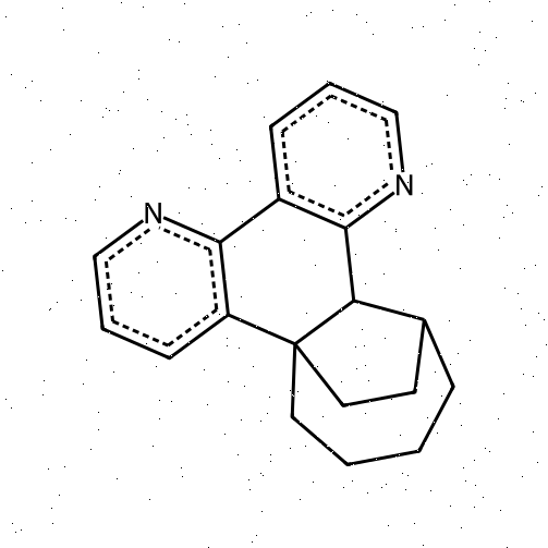 c1cnc2c(c1)-c1ncccc1C13CCCCC(CC1)C23